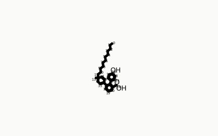 CCCCCCCCCCCCC1(C)C=CC(c2cccc(C(=O)O)c2-c2ccc(O)cc2)=CC1